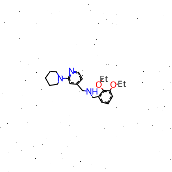 CCOc1cccc(CNCc2ccnc(N3CCCCC3)c2)c1OCC